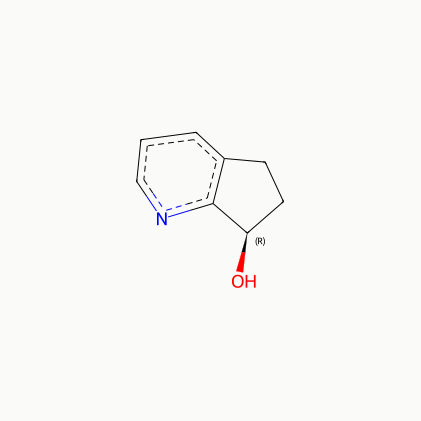 O[C@@H]1CCc2cccnc21